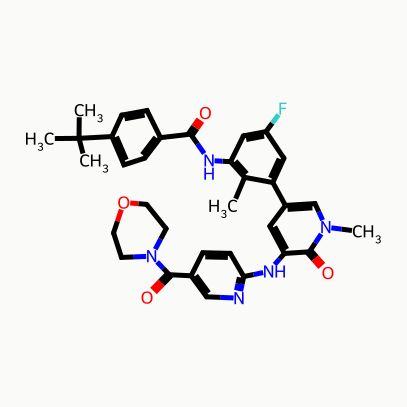 Cc1c(NC(=O)c2ccc(C(C)(C)C)cc2)cc(F)cc1-c1cc(Nc2ccc(C(=O)N3CCOCC3)cn2)c(=O)n(C)c1